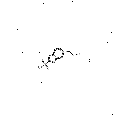 NS(=O)(=O)c1cc2cc(CCO)ccc2o1